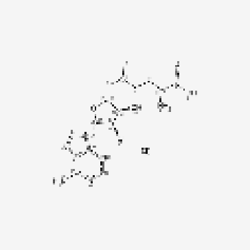 C[S+](CC[C@H](N)C(=O)O)C[C@H]1O[C@@H](n2cnc3c(N)ncnc32)[C@H](O)[C@@H]1O.[Cl-]